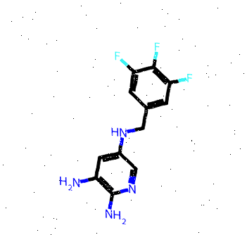 Nc1cc(NCc2cc(F)c(F)c(F)c2)cnc1N